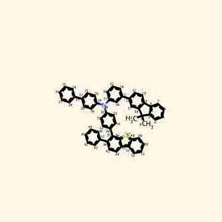 CC1(C)c2ccccc2-c2ccc(-c3cccc(N(c4ccc(-c5ccccc5)cc4)c4ccc(-c5c(-c6ccccc6)ccc6c5sc5ccccc56)cc4)c3)cc21